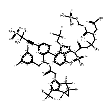 CC(C)(CC(=O)N(c1nn(CC(F)(F)F)c2c(-c3ccc(C#CC(C)(C)S(C)(=O)=O)nc3[C@H](Cc3cc(F)cc(F)c3)NC(=O)Cn3nc(C(F)(F)F)c4c3C(F)(F)[C@@H]3C[C@H]43)ccc(Cl)c12)S(C)(=O)=O)CN(CC(=O)O)C(=O)OCOP(=O)(O)O